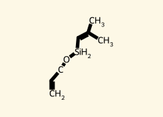 C=CCO[SiH2]C=C(C)C